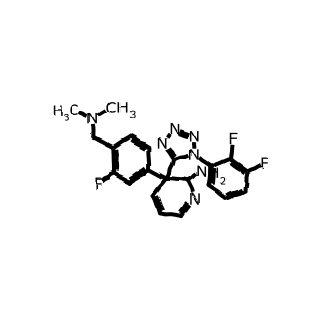 CN(C)Cc1ccc(C2(c3nnnn3-c3cccc(F)c3F)C=CC=NC2N)cc1F